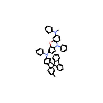 Cc1ccc2c(c1)C1(c3ccccc3-c3ccccc31)c1cc(N(c3ccccc3)c3ccc4c(c3)Oc3cc(N(C)c5ccccc5)ccc3N4c3ccccc3)ccc1-2